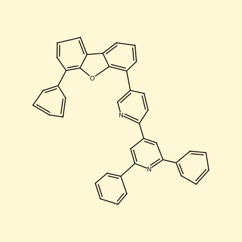 c1ccc(-c2cc(-c3ccc(-c4cccc5c4oc4c(-c6ccccc6)cccc45)cn3)cc(-c3ccccc3)n2)cc1